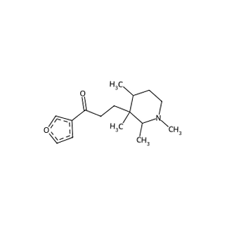 CC1CCN(C)C(C)C1(C)CCC(=O)c1ccoc1